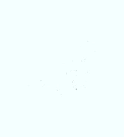 Cc1ccc(O)c(Cn2c(NC3CCN(CCN4CCOCC4)CC3)nc3ccc(/C=C/c4ccccc4)cc32)n1